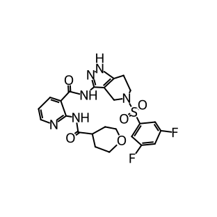 O=C(Nc1n[nH]c2c1CN(S(=O)(=O)c1cc(F)cc(F)c1)CC2)c1cccnc1NC(=O)C1CCOCC1